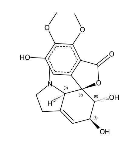 COc1c(O)cc2c(c1OC)C(=O)O[C@]21[C@H](O)[C@@H](O)C=C2CCN(C)[C@H]21